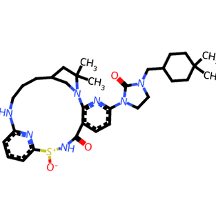 CC1(C)CCC(CN2CCN(c3ccc4c(n3)N3CC(CCCNc5cccc(n5)[S+]([O-])NC4=O)CC3(C)C)C2=O)CC1